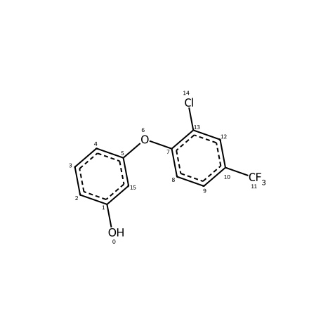 Oc1cccc(Oc2ccc(C(F)(F)F)cc2Cl)c1